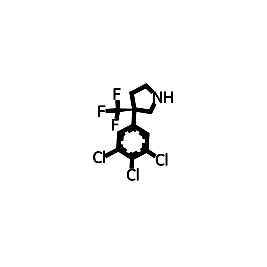 FC(F)(F)[C@@]1(c2cc(Cl)c(Cl)c(Cl)c2)CCNC1